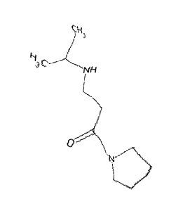 CC(C)NCCC(=O)N1CCCC1